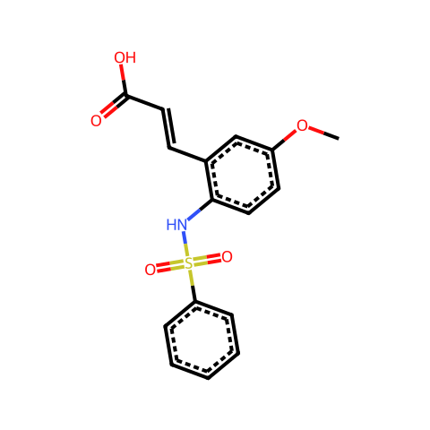 COc1ccc(NS(=O)(=O)c2ccccc2)c(/C=C/C(=O)O)c1